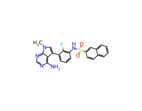 Cn1cc(-c2cccc(NS(=O)(=O)c3ccc4ccccc4c3)c2F)c2c(N)ncnc21